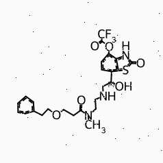 CN(CCNC[C@H](O)c1ccc(OC(=O)C(F)(F)F)c2[nH]c(=O)sc12)C(=O)CCOCCc1ccccc1